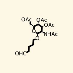 CC(=O)N[C@H]1[C@@H](OCCCCC=O)O[C@@H](COC(C)=O)[C@H](OC(C)=O)[C@@H]1OC(C)=O